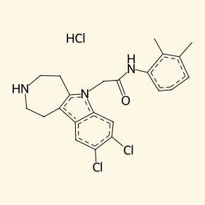 Cc1cccc(NC(=O)Cn2c3c(c4cc(Cl)c(Cl)cc42)CCNCC3)c1C.Cl